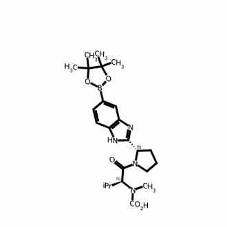 CC(C)[C@@H](C(=O)N1CCC[C@H]1c1nc2cc(B3OC(C)(C)C(C)(C)O3)ccc2[nH]1)N(C)C(=O)O